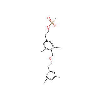 Cc1cc(C)cc(CCOCc2c(C)cc(CCOS(C)(=O)=O)cc2C)c1